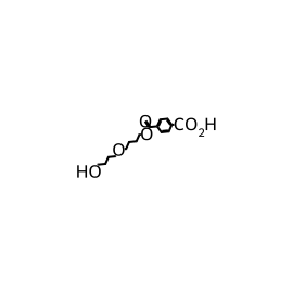 O=C(O)c1ccc(C(=O)OCCCCOCCCCO)cc1